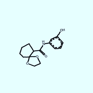 O=C(Nc1cccc(O)c1)C1CCCCC12OCCO2